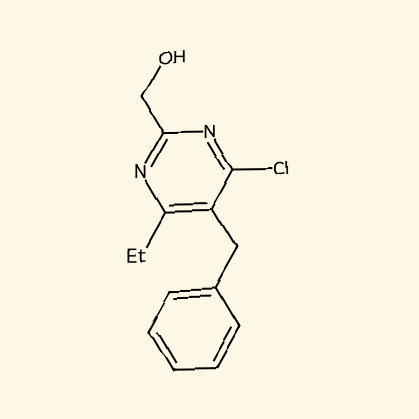 CCc1nc(CO)nc(Cl)c1Cc1ccccc1